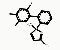 C[N+]1(c2ccccc2-c2cc(F)c(F)cc2F)C=[C]C(C(F)(F)F)=N1